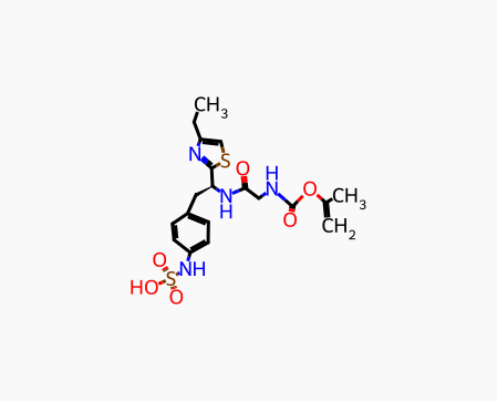 C=C(C)OC(=O)NCC(=O)N[C@@H](Cc1ccc(NS(=O)(=O)O)cc1)c1nc(CC)cs1